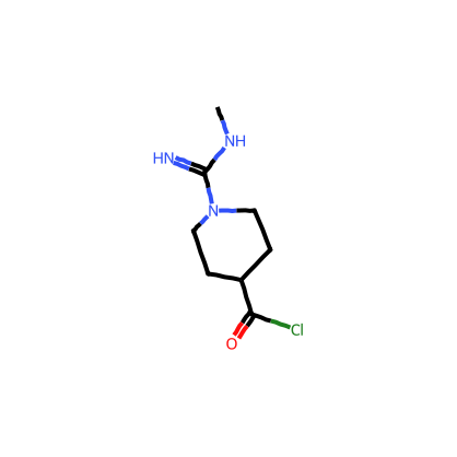 CNC(=N)N1CCC(C(=O)Cl)CC1